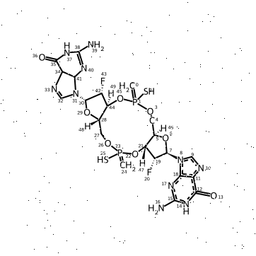 C=P1(S)OC[C@H]2O[C@@H](n3cnc4c(=O)[nH]c(N)nc43)[C@H](F)[C@@H]2OP(=C)(S)OC[C@@H]2O[C@H](N3C=NC4C(=O)NC(N)=NC43)[C@H](F)[C@H]2O1